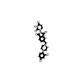 O=C1CCN(N2C(=O)c3ccc(CN4CCN(c5ccc(Cl)cc5Cl)CC4)cc3C2=O)C(=O)N1